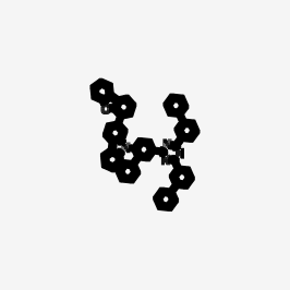 c1ccc(-c2cccc(-c3nc(-c4cccc(-c5ccccc5)c4)nc(-c4ccc(-n5c6ccccc6c6ccc(-c7cccc8c7oc7ccccc78)cc65)c(-c5ccccc5)c4)n3)c2)cc1